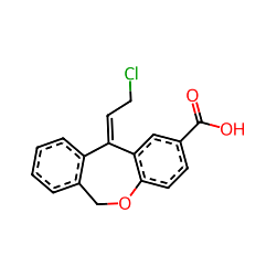 O=C(O)c1ccc2c(c1)C(=CCCl)c1ccccc1CO2